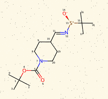 CC(C)(C)OC(=O)N1CCC(/C=N/[S@@+]([O-])C(C)(C)C)CC1